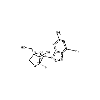 Nc1nc(N)c2ncn([C@@H]3O[C@]4(CO)CO[C@H]3[C@H]4O)c2n1